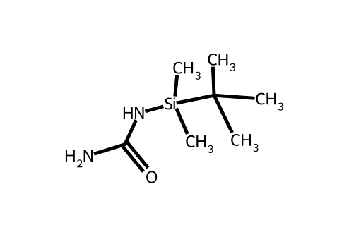 CC(C)(C)[Si](C)(C)NC(N)=O